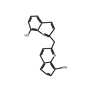 Oc1cccc2ccc(Cc3ccc4cccc(O)c4n3)nc12